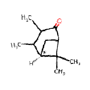 CC1C(=O)C2C[C@H](C1C)C2(C)C